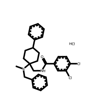 CN(Cc1ccccc1)C1(CNC(=O)c2ccc(Cl)c(Cl)c2)CCC(c2ccccc2)CC1.Cl